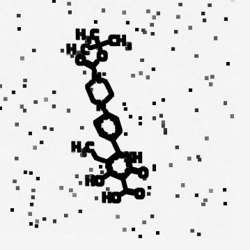 CCc1c(-c2ccc(N3CCN(C(=O)OC(C)(C)C)CC3)cc2)[nH]c(=O)c(C(=O)O)c1O